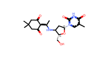 CC(NC1C[C@H](n2cc(C)c(=O)[nH]c2=O)O[C@@H]1CO)=C1C(=O)CC(C)(C)CC1=O